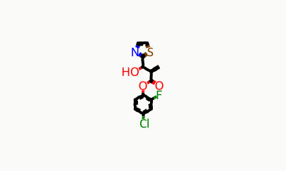 C=C(C(=O)Oc1ccc(Cl)cc1F)C(O)c1nccs1